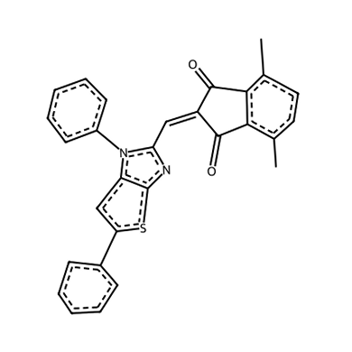 Cc1ccc(C)c2c1C(=O)C(=Cc1nc3sc(-c4ccccc4)cc3n1-c1ccccc1)C2=O